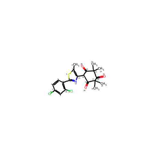 Cc1sc(-c2ccc(Cl)cc2Cl)nc1C1C(=O)C(C)(C)C(=O)C(C)(C)C1=O